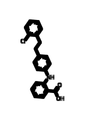 O=C(O)c1ccccc1Nc1ccc(CCc2ccccc2Cl)cc1